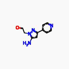 Nc1cc(-c2ccncc2)nn1CC=O